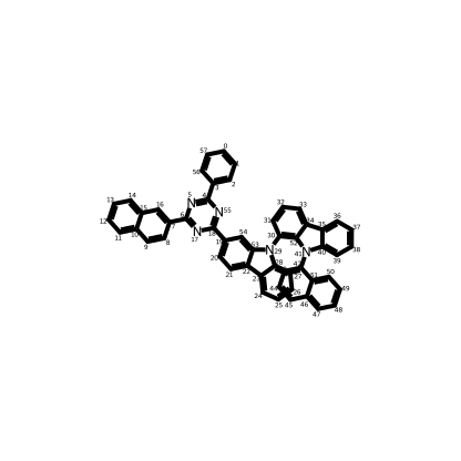 c1ccc(-c2nc(-c3ccc4ccccc4c3)nc(-c3ccc4c5ccccc5n(-c5cccc6c7ccccc7n(-c7cccc8ccccc78)c56)c4c3)n2)cc1